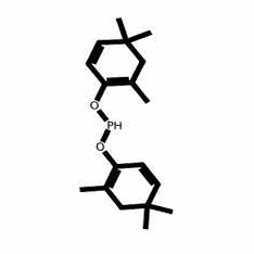 CC1=C(OPOC2=C(C)CC(C)(C)C=C2)C=CC(C)(C)C1